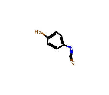 S=C=Nc1ccc(S)cc1